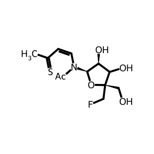 CC(=O)N(/C=C\C(C)=S)[C@@H]1O[C@@](CO)(CF)C(O)[C@@H]1O